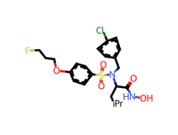 CC(C)CC(C(=O)NO)N(Cc1ccc(Cl)cc1)S(=O)(=O)c1ccc(OCCCF)cc1